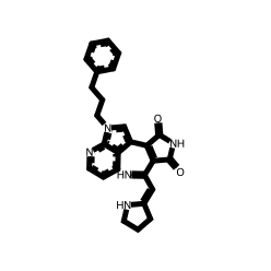 N=C(/C=C1/CCCN1)C1=C(c2cn(CCCc3ccccc3)c3ncccc23)C(=O)NC1=O